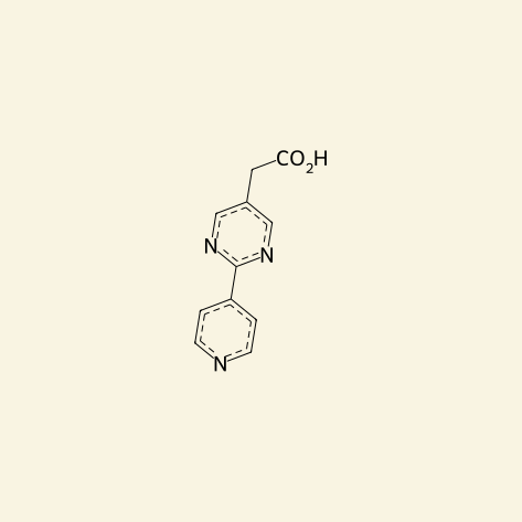 O=C(O)Cc1cnc(-c2ccncc2)nc1